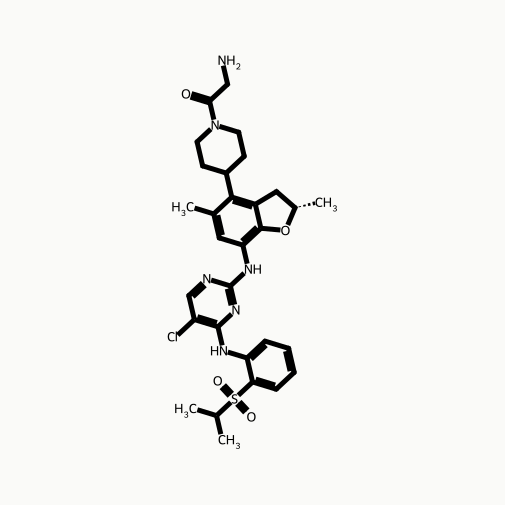 Cc1cc(Nc2ncc(Cl)c(Nc3ccccc3S(=O)(=O)C(C)C)n2)c2c(c1C1CCN(C(=O)CN)CC1)C[C@H](C)O2